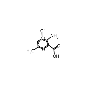 Cc1c[n+]([O-])c(N)c(C(=O)O)n1